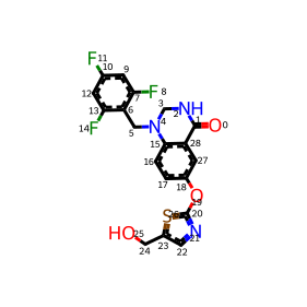 O=C1NCN(Cc2c(F)cc(F)cc2F)c2ccc(Oc3ncc(CO)s3)cc21